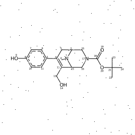 CN1C2CC(c3ccc(O)cc3)=C(CO)C1CN(C(=O)OC(C)(C)C)C2